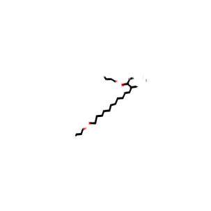 CCCCOC(=O)CCCCCCCCCCCC(C(C)C)C(C(=O)OCCCC)C(C)C